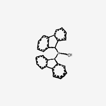 OB(C1c2ccccc2-c2ccccc21)C1c2ccccc2-c2ccccc21